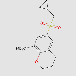 O=C(O)c1cc(S(=O)(=O)CC2CC2)cc2c1OCCC2